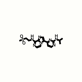 CC(C)Nc1nccc(-c2cnc3c(NCCS(C)(=O)=O)nccn23)n1